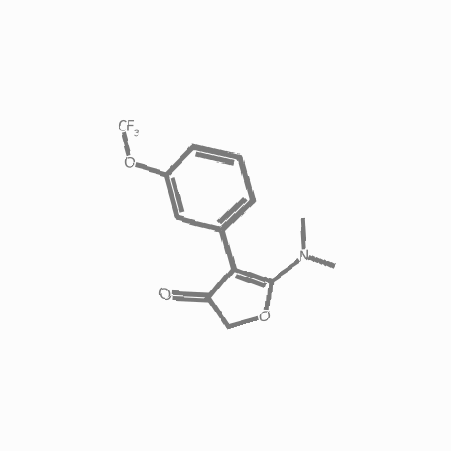 CN(C)C1=C(c2cccc(OC(F)(F)F)c2)C(=O)CO1